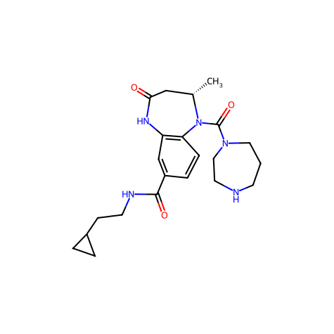 C[C@H]1CC(=O)Nc2cc(C(=O)NCCC3CC3)ccc2N1C(=O)N1CCCNCC1